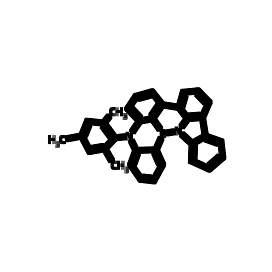 Cc1cc(C)c(N2c3ccccc3B3c4c(cccc42)-c2cccc4c5ccccc5n3c24)c(C)c1